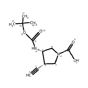 C#C[C@H]1CN(C(=O)O)C[C@H]1NC(=O)OC(C)(C)C